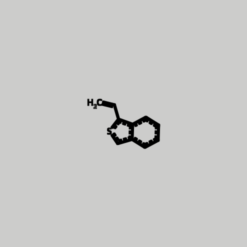 C=Cc1scc2ccccc12